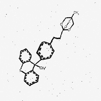 CC12COC(CCc3ccc(C4(O)c5ccccc5Sc5ccccc54)cc3)(OC1)OC2